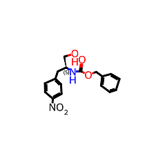 O=C(N[C@H](CO)Cc1ccc([N+](=O)[O-])cc1)OCc1ccccc1